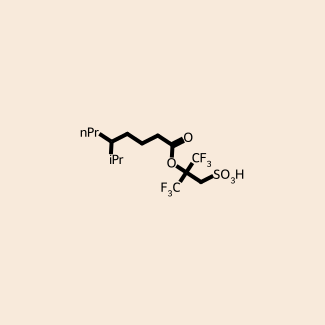 CCCC(CCCC(=O)OC(CS(=O)(=O)O)(C(F)(F)F)C(F)(F)F)C(C)C